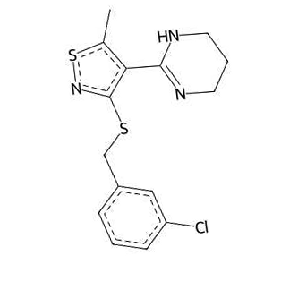 Cc1snc(SCc2cccc(Cl)c2)c1C1=NCCCN1